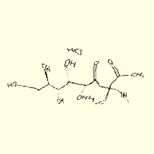 Cl.[CH2]C(N)(C(C)=O)C(=O)[C@H](O)[C@@H](O)[C@H](O)[C@H](O)CO